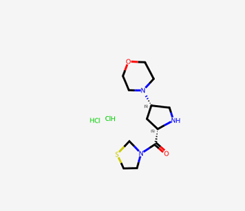 Cl.Cl.O=C([C@@H]1C[C@H](N2CCOCC2)CN1)N1CCSC1